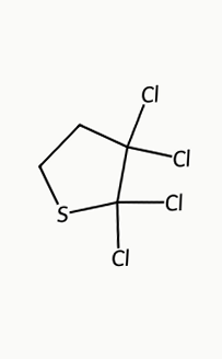 ClC1(Cl)CCSC1(Cl)Cl